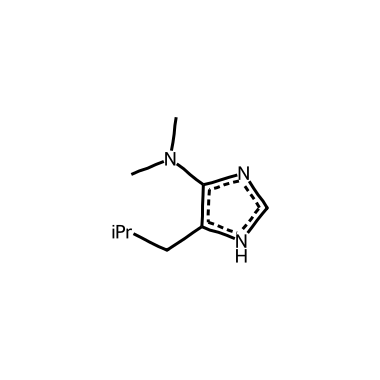 CC(C)Cc1[nH]cnc1N(C)C